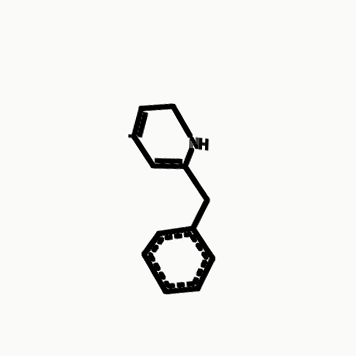 [C]1=CCNC(Cc2ccccc2)=C1